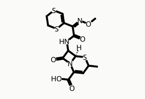 CO/N=C(\C(=O)NC1C(=O)N2C(C(=O)O)=CC(C)S[C@H]12)C1=CSCCS1